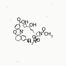 CC(=O)N1C[C@@H](C/C=C/[C@H](O)[C@@H]2CC[C@H]2CN2C[C@@]3(CCCc4cc(Cl)ccc43)COc3ccc(C(=O)O)cc32)[C@H](S(N)(=O)=O)C1